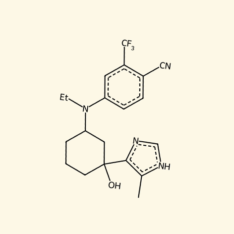 CCN(c1ccc(C#N)c(C(F)(F)F)c1)C1CCCC(O)(c2nc[nH]c2C)C1